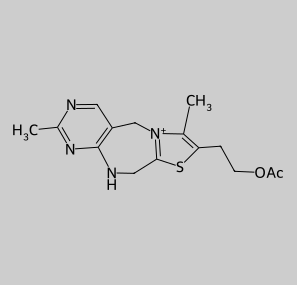 CC(=O)OCCc1sc2[n+](c1C)Cc1cnc(C)nc1NC2